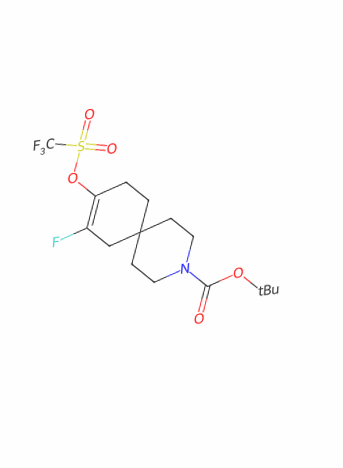 CC(C)(C)OC(=O)N1CCC2(CCC(OS(=O)(=O)C(F)(F)F)=C(F)C2)CC1